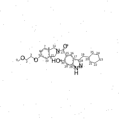 COCCOc1ccc2c(c1)CN(C(=O)c1cc3c(CC4CCCCC4)n[nH]c3cc1O)C2